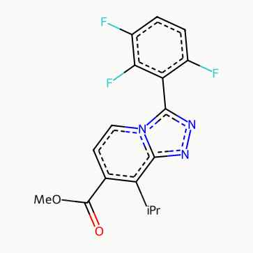 COC(=O)c1ccn2c(-c3c(F)ccc(F)c3F)nnc2c1C(C)C